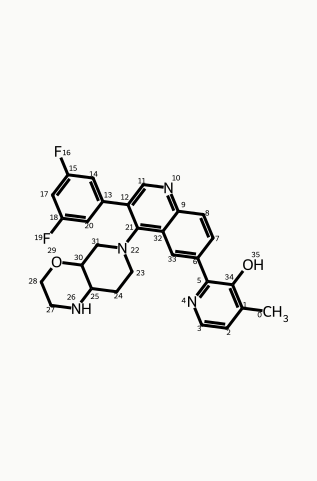 Cc1ccnc(-c2ccc3ncc(-c4cc(F)cc(F)c4)c(N4CCC5NCCOC5C4)c3c2)c1O